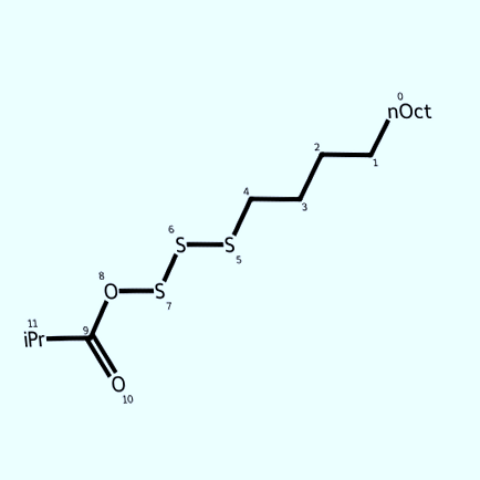 CCCCCCCCCCCCSSSOC(=O)C(C)C